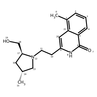 Cc1cccc2c(=O)[nH]c(CCN3C[C@H](C)C[C@H]3CO)cc12